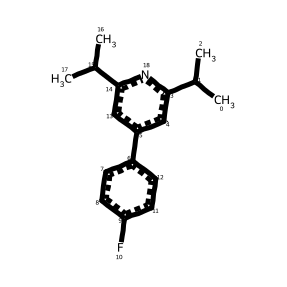 CC(C)c1[c]c(-c2ccc(F)cc2)cc(C(C)C)n1